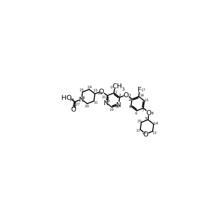 Cc1c(Oc2ccc(OC3CCOCC3)cc2F)ncnc1OC1CCN(C(=O)O)CC1